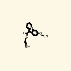 CCCC#CCOC(=O)c1c2ccc(OCC#N)cc2n2ccccc12